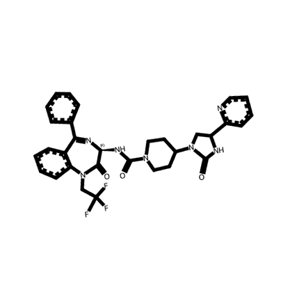 O=C(N[C@@H]1N=C(c2ccccc2)c2ccccc2N(CC(F)(F)F)C1=O)N1CCC(N2CC(c3ccccn3)NC2=O)CC1